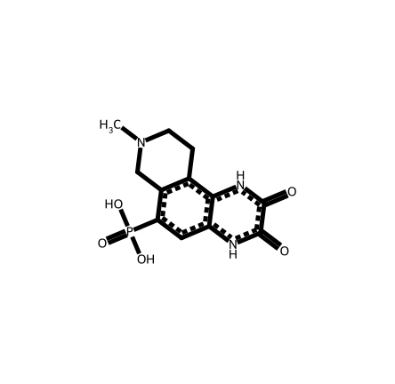 CN1CCc2c(c(P(=O)(O)O)cc3[nH]c(=O)c(=O)[nH]c23)C1